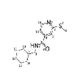 CSc1cc(C(=O)NCC2CCCCC2)ccn1